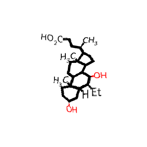 CC[C@@H]1[C@H](O)C2C3CCC([C@H](C)CCC(=O)O)[C@@]3(C)CCC2[C@@]2(C)CC[C@@H](O)C[C@@H]12